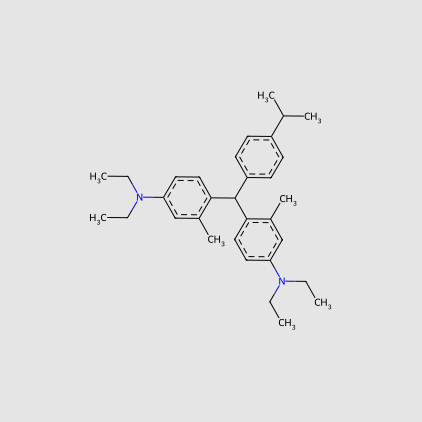 CCN(CC)c1ccc(C(c2ccc(C(C)C)cc2)c2ccc(N(CC)CC)cc2C)c(C)c1